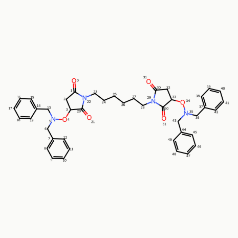 O=C1CC(ON(Cc2ccccc2)Cc2ccccc2)C(=O)N1CCCCCCN1C(=O)CC(ON(Cc2ccccc2)Cc2ccccc2)C1=O